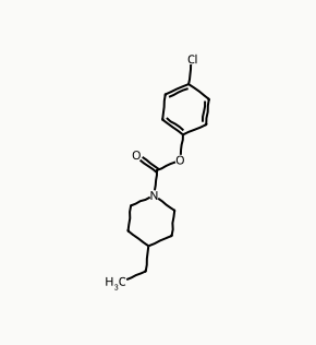 CCC1CCN(C(=O)Oc2ccc(Cl)cc2)CC1